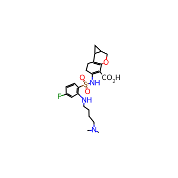 CN(C)CCCCNc1cc(F)ccc1S(=O)(=O)NC1=C(C(=O)O)C2=C(CC1)C1CC1CO2